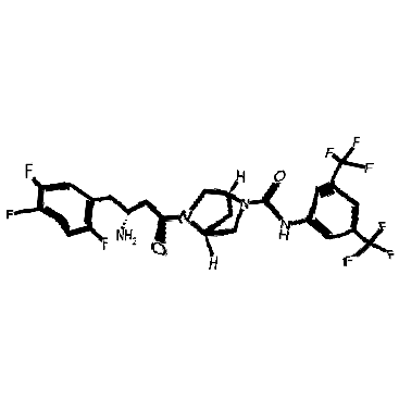 N[C@@H](CC(=O)N1C[C@H]2C[C@@H]1CN2C(=O)Nc1cc(C(F)(F)F)cc(C(F)(F)F)c1)Cc1cc(F)c(F)cc1F